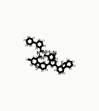 C=C1C=C(C2=NC(c3ccccc3)NC(c3cccc(-c4ccccc4)c3)=N2)c2c(sc3ccc(-c4cc(C#N)cc(-c5cccc6c5sc5ccccc56)c4)cc23)C1